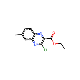 CCOC(=O)c1nc2ccc(C)cc2nc1Cl